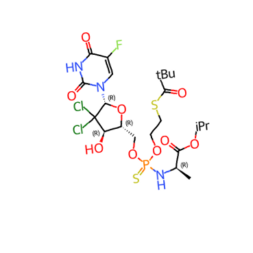 CC(C)OC(=O)[C@@H](C)NP(=S)(OCCSC(=O)C(C)(C)C)OC[C@H]1O[C@@H](n2cc(F)c(=O)[nH]c2=O)C(Cl)(Cl)[C@@H]1O